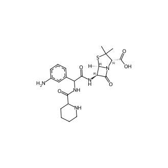 CC1(C)S[C@@H]2[C@H](NC(=O)C(NC(=O)C3CCCCN3)c3cccc(N)c3)C(=O)N2[C@H]1C(=O)O